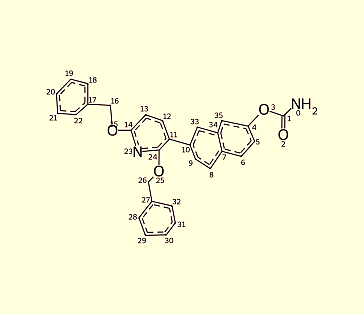 NC(=O)Oc1ccc2ccc(-c3ccc(OCc4ccccc4)nc3OCc3ccccc3)cc2c1